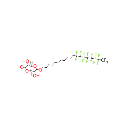 O=C1O[C@H]2[C@H](OC(OCCCCCCCCCCCC(F)(F)C(F)(F)C(F)(F)C(F)(F)C(F)(F)C(F)(F)C(F)(F)C(F)(F)F)[C@@H]2O)[C@@H]1O